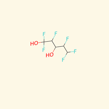 OC(C(F)C(F)F)C(F)C(O)(F)F